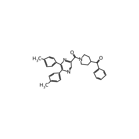 Cc1ccc(-c2ncc(C(=O)N3CCC(C(=O)c4ccccc4)CC3)nc2-c2ccc(C)cc2)cc1